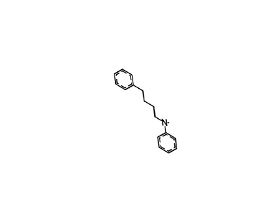 c1ccc(CCCC[N]c2ccccc2)cc1